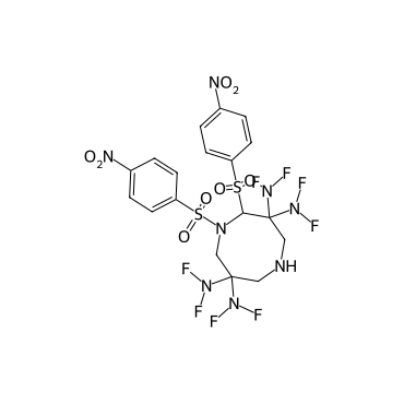 O=[N+]([O-])c1ccc(S(=O)(=O)C2N(S(=O)(=O)c3ccc([N+](=O)[O-])cc3)CC(N(F)F)(N(F)F)CNCC2(N(F)F)N(F)F)cc1